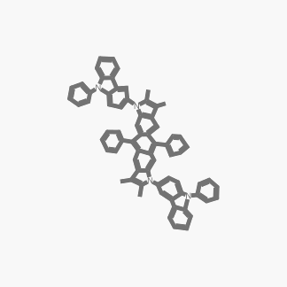 Cc1c(C)n(-c2ccc3c(c2)c2ccccc2n3-c2ccccc2)c2cc3c(-c4ccccc4)c4cc5c(C)c(C)n(-c6ccc7c(c6)c6ccccc6n7-c6ccccc6)c5cc4c(-c4ccccc4)c3cc12